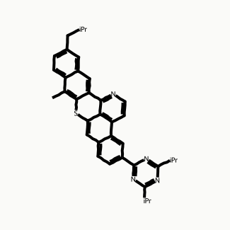 Cc1c2c(cc3cc(CC(C)C)ccc13)-c1nccc3c1c(cc1ccc(-c4nc(C(C)C)nc(C(C)C)n4)cc13)S2